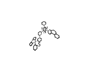 c1ccc(-c2nc(-c3cccc(-c4ccc5c(c4)C4(c6ccccc6S5)c5ccccc5-c5ccccc54)c3)nc(-c3ccc4c(ccc5ccccc54)c3)n2)cc1